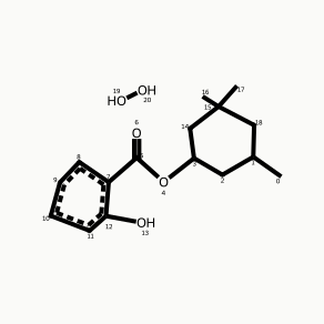 CC1CC(OC(=O)c2ccccc2O)CC(C)(C)C1.OO